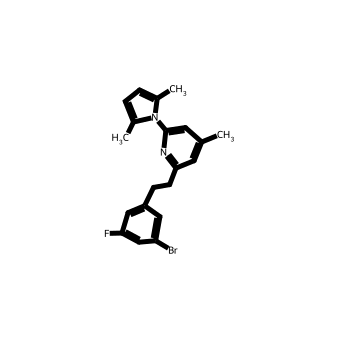 Cc1cc(CCc2cc(F)cc(Br)c2)nc(-n2c(C)ccc2C)c1